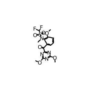 COc1nc(OC)nc(C(=O)c2cccc(OC)c2N(C)S(=O)(=O)C(F)F)n1